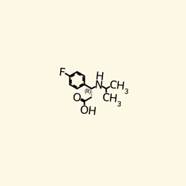 CC(C)N[C@H](CC(=O)O)c1ccc(F)cc1